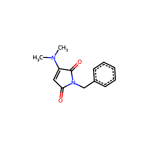 CN(C)C1=CC(=O)N(Cc2ccccc2)C1=O